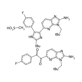 CC(C)(C)Cn1c(N)nc2ccc(-c3nc(C(C)(C)C)[nH]c3-c3ccc(F)cc3)nc21.CC(C)(C)Cn1c(N)nc2ccc(C(=O)C(=O)c3ccc(F)cc3)nc21.CS(=O)(=O)O